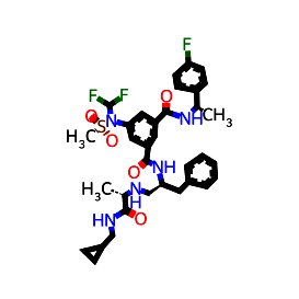 C[C@H](NC[C@H](Cc1ccccc1)NC(=O)c1cc(C(=O)N[C@H](C)c2ccc(F)cc2)cc(N(C(F)F)S(C)(=O)=O)c1)C(=O)NCC1CC1